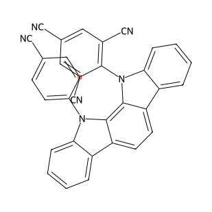 N#Cc1ccc(-n2c3ccccc3c3ccc4c5ccccc5n(-c5c(C#N)cc(C#N)cc5C#N)c4c32)cc1